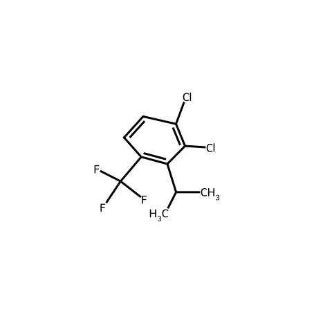 CC(C)c1c(C(F)(F)F)ccc(Cl)c1Cl